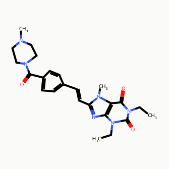 CCn1c(=O)c2c(nc(/C=C/c3ccc(C(=O)N4CCN(C)CC4)cc3)n2C)n(CC)c1=O